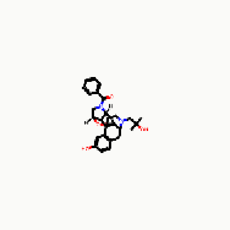 CC(C)(O)CN1CCC23c4cc(O)ccc4CC1C21C[C@@H]2C3[C@@H](CN2C(=O)c2ccccc2)O1